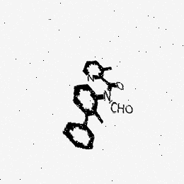 Cc1cccnc1C(=O)N(C=O)c1cccc(-c2ccccc2)c1C